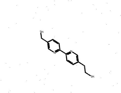 SCCc1ccc(-c2ccc(CS)cn2)nc1